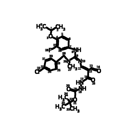 CC(C)Oc1ccc(N/C(=N/C=C(\C=O)C(=O)NNC(=O)OC(C)(C)C)N(C)Cc2ccc(Cl)cc2)cc1F